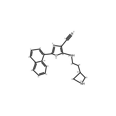 N#Cc1nc(-c2cccc3ccccc23)oc1NCCC1CNC1